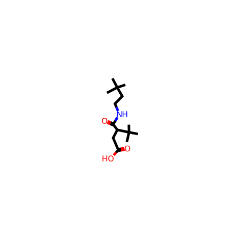 CC(C)(C)CCNC(=O)C(CC(=O)O)C(C)(C)C